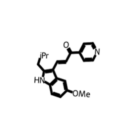 COc1ccc2[nH]c(CC(C)C)c(C=CC(=O)c3ccncc3)c2c1